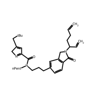 C=CCCC(C=C)N1Cc2cc(CCCN(CCCCC)C(=O)C3=NCC(CC(C)(C)C)=C3)ccc2C1=O